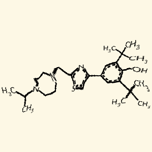 CC(C)N1CCN(Cc2nc(-c3cc(C(C)(C)C)c(O)c(C(C)(C)C)c3)cs2)CC1